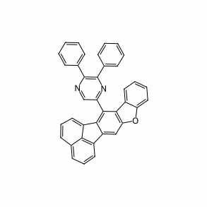 c1ccc(-c2ncc(-c3c4c(cc5oc6ccccc6c35)-c3cccc5cccc-4c35)nc2-c2ccccc2)cc1